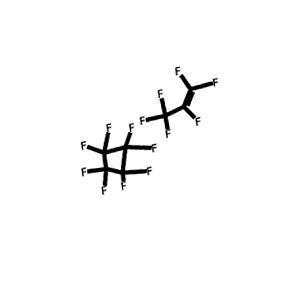 FC(F)=C(F)C(F)(F)F.FC1(F)C(F)(F)C(F)(F)C1(F)F